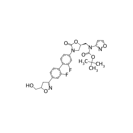 CC(C)(C)OC(=O)N(C[C@H]1CN(c2ccc(-c3ccc(C4=NOC(CO)C4)cc3F)c(F)c2)C(=O)O1)c1ccon1